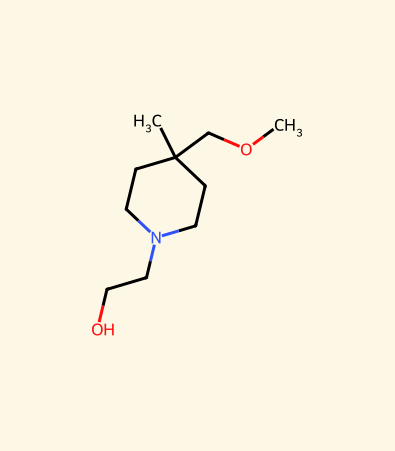 COCC1(C)CCN(CCO)CC1